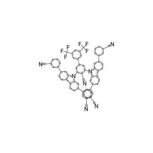 N#Cc1cccc(-c2ccc3c4ccc(-c5cccc(C#N)c5)cc4n(-c4cc(-c5cc(C(F)(F)F)cc(C(F)(F)F)c5)cc(-n5c6cc(-c7cccc(C#N)c7)ccc6c6ccc(-c7cccc(C#N)c7)cc65)c4C#N)c3c2)c1